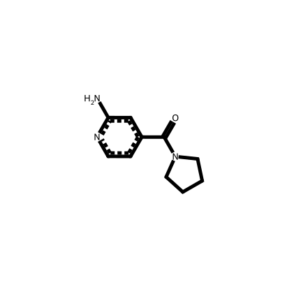 Nc1cc(C(=O)N2CCCC2)ccn1